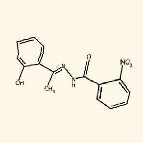 C/C(=N\NC(=O)c1ccccc1[N+](=O)[O-])c1ccccc1O